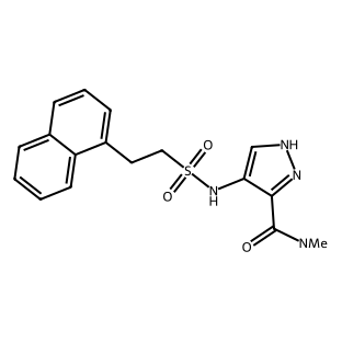 CNC(=O)c1n[nH]cc1NS(=O)(=O)CCc1cccc2ccccc12